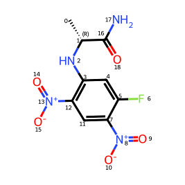 C[C@@H](Nc1cc(F)c([N+](=O)[O-])cc1[N+](=O)[O-])C(N)=O